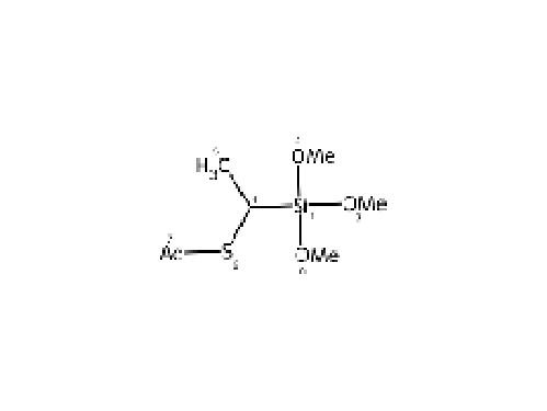 CO[Si](OC)(OC)C(C)SC(C)=O